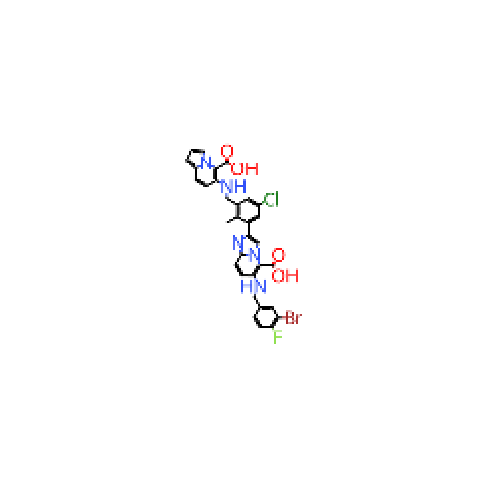 Cc1c(CNc2ccc3cccn3c2C(=O)O)cc(Cl)cc1-c1cn2c(C(=O)O)c(NCc3ccc(F)c(Br)c3)ccc2n1